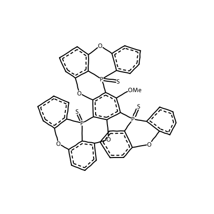 COc1c(P2(=S)c3ccccc3Oc3ccccc32)c2c(c3c1P1(=S)c4ccccc4Oc4cccc(c41)O3)P1(=S)c3ccccc3Oc3cccc(c31)O2